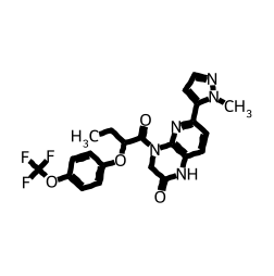 CCC(Oc1ccc(OC(F)(F)F)cc1)C(=O)N1CC(=O)Nc2ccc(-c3ccnn3C)nc21